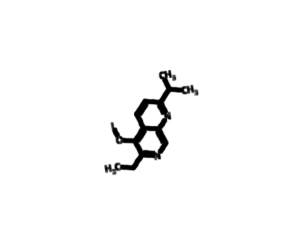 CCc1ncc2nc(C(C)C)ccc2c1OI